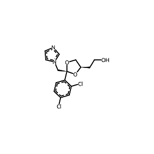 OCC[C@@H]1CO[C@@](Cn2ccnc2)(c2ccc(Cl)cc2Cl)O1